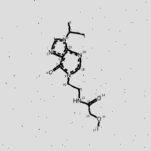 CC(C)n1cnc2c(=O)n(CCNC(=O)COI)cnc21